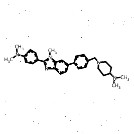 CN(C)c1ccc(-c2nc3ccc(-c4ccc(CN5CCC(N(C)C)CC5)cc4)cc3n2C)cc1